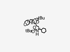 CC(C)(C)OC[C@H](CN1CCOCC1)NC(=O)CC[C@H](NC(=O)OC(C)(C)C)C1CCCCC1